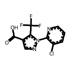 O=C(O)c1cnn(-c2ncccc2Cl)c1C(F)(F)F